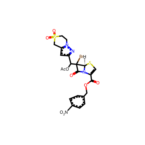 CC(=O)OC(c1cc2n(n1)CCS(=O)(=O)C2)C1(Br)C(=O)N2C(C(=O)OCc3ccc([N+](=O)[O-])cc3)=CS[C@@H]21